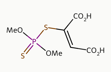 COP(=S)(OC)SC(=CC(=O)O)C(=O)O